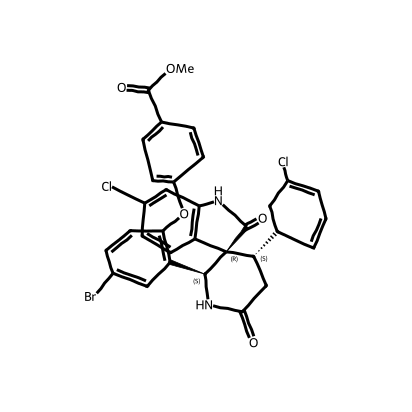 COC(=O)c1ccc(Oc2ccc(Br)cc2[C@@H]2NC(=O)C[C@@H](C3C=CC=C(Cl)C3)[C@]23C(=O)Nc2cc(Cl)ccc23)cc1